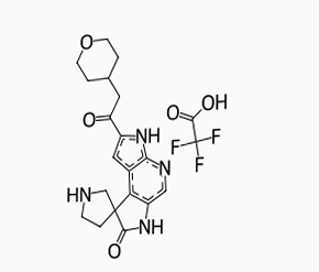 O=C(CC1CCOCC1)c1cc2c3c(cnc2[nH]1)NC(=O)C31CCNC1.O=C(O)C(F)(F)F